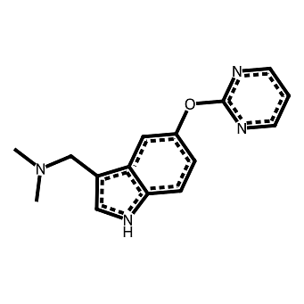 CN(C)Cc1c[nH]c2ccc(Oc3ncccn3)cc12